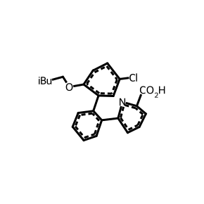 CCC(C)COc1ccc(Cl)cc1-c1ccccc1-c1cccc(C(=O)O)n1